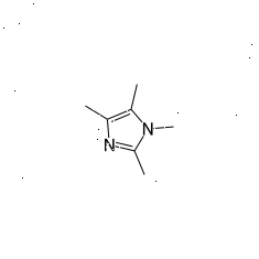 Cc1nc(C)n(C)c1C